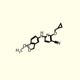 COB1OCc2cc(Nc3ccc(C#N)c(OCC4CC4)n3)ccc21